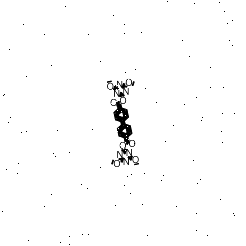 COc1nc(OC)nc(OC(=O)c2ccc(-c3ccc(C(=O)Oc4nc(OC)nc(OC)n4)cc3)cc2)n1